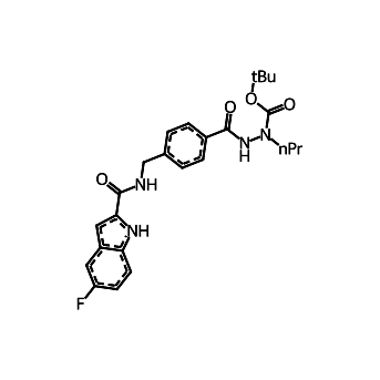 CCCN(NC(=O)c1ccc(CNC(=O)c2cc3cc(F)ccc3[nH]2)cc1)C(=O)OC(C)(C)C